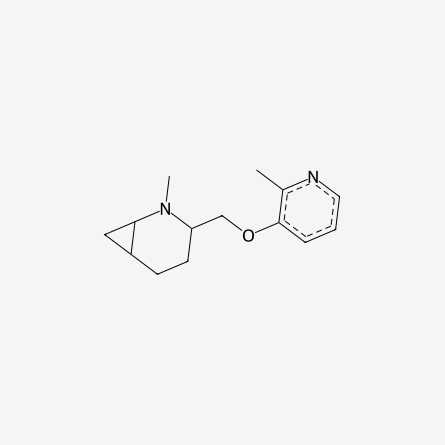 Cc1ncccc1OCC1CCC2CC2N1C